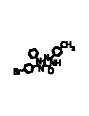 Cc1ccc(-c2nc3c(nc(-c4ccc(Br)cc4)n3-c3ccccc3)c(=O)[nH]2)cc1